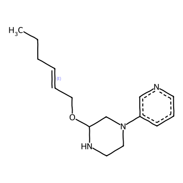 CCC/C=C/COC1CN(c2cccnc2)CCN1